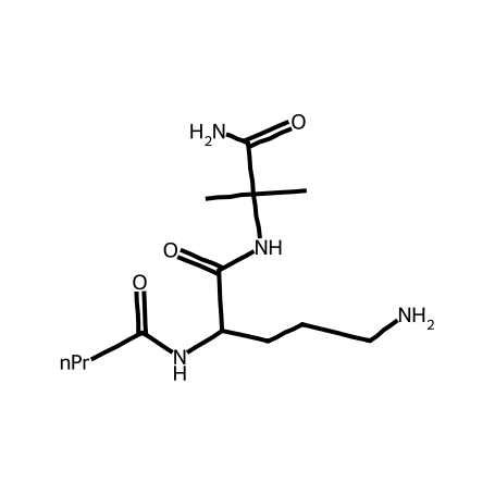 CCCC(=O)NC(CCCN)C(=O)NC(C)(C)C(N)=O